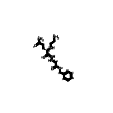 NCCN[C@@H](CCC(N)=O)C(=O)NNCC(=O)OCc1ccccc1